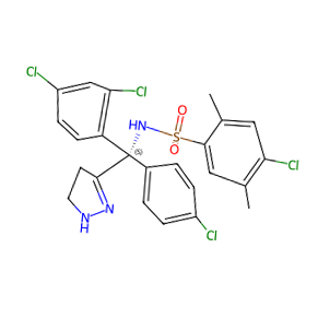 Cc1cc(S(=O)(=O)N[C@@](C2=NNCC2)(c2ccc(Cl)cc2)c2ccc(Cl)cc2Cl)c(C)cc1Cl